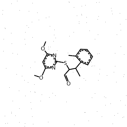 COc1cc(OC)nc(SC(C=O)C(C)c2ccccc2C)n1